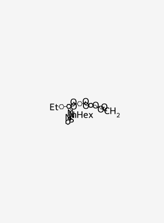 C=CC(=O)OCCOc1ccc(OC(=O)C2CCC(C(=O)Oc3ccc(C4CCC(CC)CC4)cc3/C=N/N(CCCCCC)c3nc4ccccc4s3)CC2)cc1